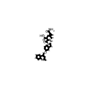 Cc1cc(COc2ccc3c(c2)CCN3C(=O)C2C(C(=O)O)CC3(CC3C(N)=O)CN2C)c2ccccc2n1